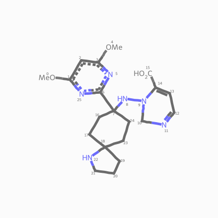 COc1cc(OC)nc(C2(NN3CN=CC=C3C(=O)O)CCC3(CCCN3)CC2)n1